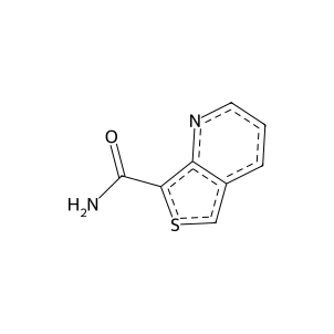 NC(=O)c1scc2cccnc12